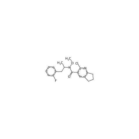 CON(C(=O)c1cc2c(nc1Cl)CCC2)C(C)Cc1ccccc1F